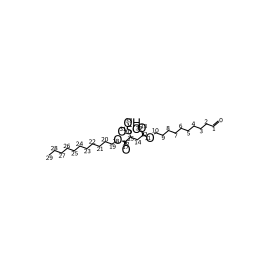 C=CCCCCCCCCCOC(=O)CC(C(=O)OCCCCCCCCCCC)S(=O)(=O)O